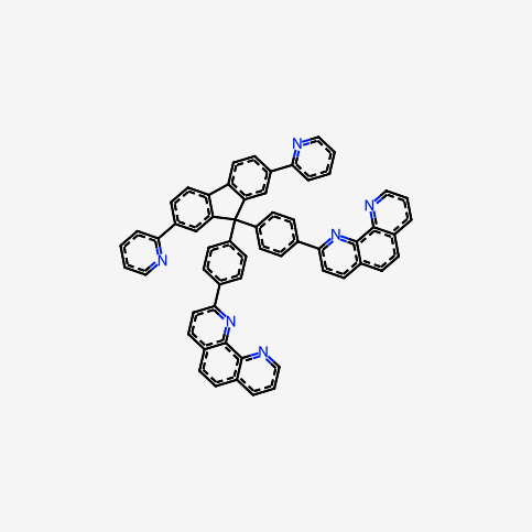 c1ccc(-c2ccc3c(c2)C(c2ccc(-c4ccc5ccc6cccnc6c5n4)cc2)(c2ccc(-c4ccc5ccc6cccnc6c5n4)cc2)c2cc(-c4ccccn4)ccc2-3)nc1